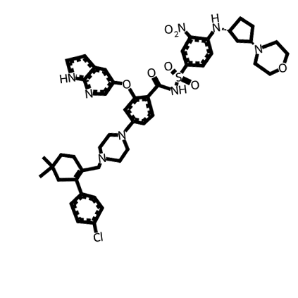 CC1(C)CCC(CN2CCN(c3ccc(C(=O)NS(=O)(=O)c4ccc(N[C@@H]5CC[C@H](N6CCOCC6)C5)c([N+](=O)[O-])c4)c(Oc4cnc5[nH]ccc5c4)c3)CC2)=C(c2ccc(Cl)cc2)C1